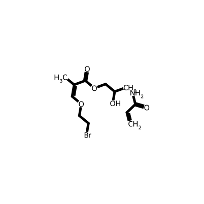 C=CC(N)=O.CC(=COCCBr)C(=O)OCC(C)O